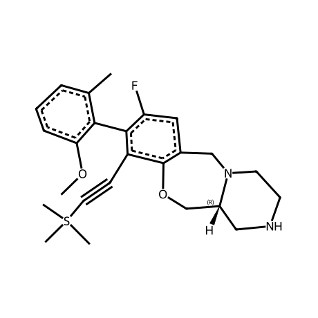 COc1cccc(C)c1-c1c(F)cc2c(c1C#CS(C)(C)C)OC[C@H]1CNCCN1C2